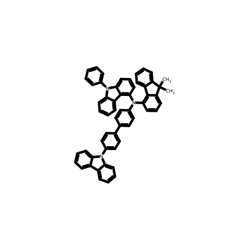 CC1(C)c2ccccc2-c2c(N(c3ccc(-c4ccc(-n5c6ccccc6c6ccccc65)cc4)cc3)c3cccc4c3c3ccccc3n4-c3ccccc3)cccc21